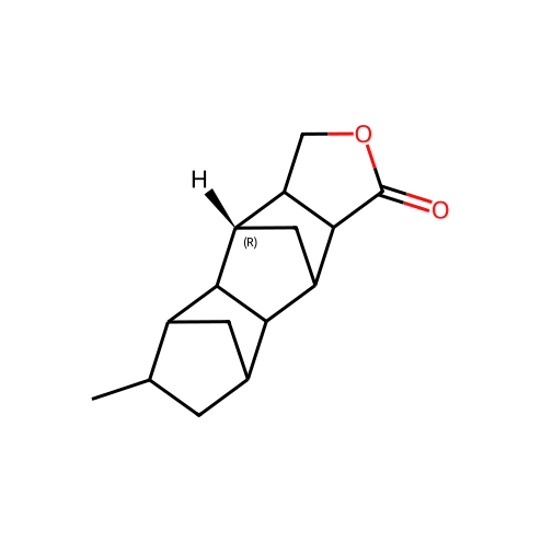 CC1CC2CC1C1C2C2C[C@H]1C1COC(=O)C21